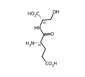 N[C@@H](CCC(=O)O)C(=O)N[C@@H](CO)C(=O)O